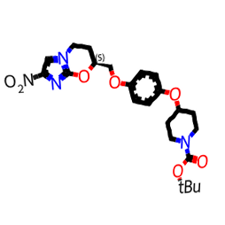 CC(C)(C)OC(=O)N1CCC(Oc2ccc(OC[C@@H]3CCn4cc([N+](=O)[O-])nc4O3)cc2)CC1